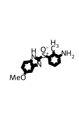 COc1ccc2[nH]c([S+]([O-])c3cccc(N)c3C)nc2c1